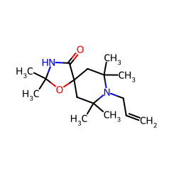 C=CCN1C(C)(C)CC2(CC1(C)C)OC(C)(C)NC2=O